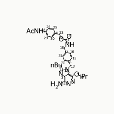 CCCCc1nc2c(N)nnc(OC(C)C)c2n1Cc1ccc(CNC(=O)OCc2ccc(NC(C)=O)cc2)cc1